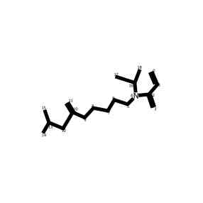 C=CC(=C)N(CCCCCC(=C)CC(C)C)C(C)C